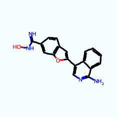 N=C(NO)c1ccc2cc(-c3cnc(N)c4ccccc34)oc2c1